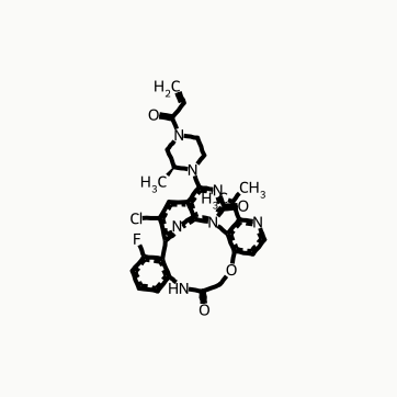 C=CC(=O)N1CCN(c2nc(=O)n3c4nc(c(Cl)cc24)-c2c(F)cccc2NC(=O)COc2ccnc(C(C)C)c2-3)[C@@H](C)C1